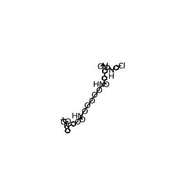 CC(=O)N1c2ccc(-c3ccc(C(=O)NCCOCCOCCOCCOCCOCCNC(=O)COc4ccc(C5c6ccccc6CN5C(=O)OC(C)(C)C)cc4)cc3)cc2[C@H](Nc2ccc(Cl)cc2)C[C@@H]1C